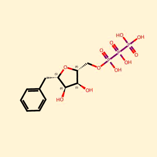 O=P(O)(O)P(=O)(O)P(=O)(O)OC[C@H]1O[C@@H](Cc2ccccc2)[C@H](O)[C@@H]1O